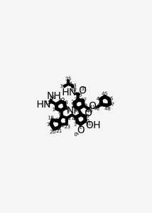 COc1cc(C2Nc3ccc(C(=N)N)cc3C3c4ccccc4CC23)c(-c2ccc(C(=O)NCC(C)C)cc2C(=O)OCc2ccccc2)cc1O